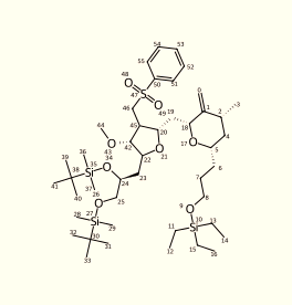 C=C1[C@H](C)C[C@H](CCCO[Si](CC)(CC)CC)O[C@@H]1C[C@@H]1OC(C[C@@H](CO[Si](C)(C)C(C)(C)C)O[Si](C)(C)C(C)(C)C)[C@H](OC)C1CS(=O)(=O)c1ccccc1